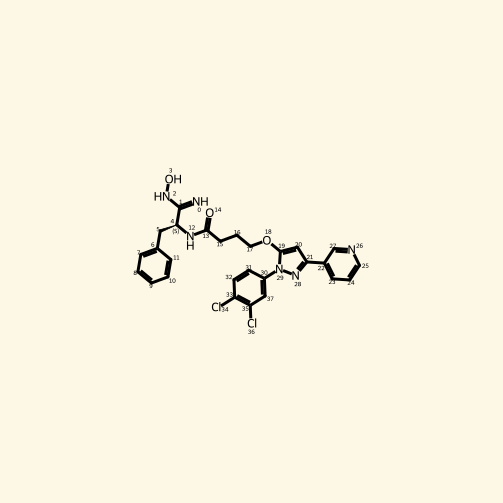 N=C(NO)[C@H](Cc1ccccc1)NC(=O)CCCOc1cc(-c2cccnc2)nn1-c1ccc(Cl)c(Cl)c1